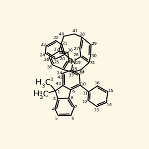 CC1(C)c2ccccc2-c2c(-c3ccccc3)cc(N(c3ccccc3)c3cc4ccc3CCc3ccc(cc3)CC4)cc21